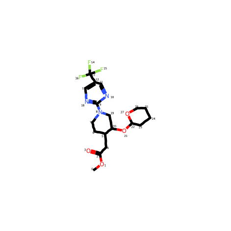 COC(=O)CC1CCN(c2ncc(C(F)(F)F)cn2)CC1OC1CCCCO1